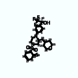 C[C@](O)(c1ccc(N2CCN(S(=O)(=O)C3=CC=CCC3=S)C[C@@H]2CC2CCOCC2)cc1)C(F)(F)F